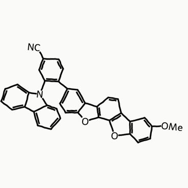 COc1ccc2oc3c(ccc4c5cc(-c6ccc(C#N)cc6-n6c7ccccc7c7ccccc76)ccc5oc43)c2c1